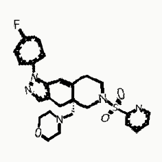 O=S(=O)(c1ccccn1)N1CCC2=Cc3c(cnn3-c3ccc(F)cc3)C[C@]2(CN2CCOCC2)C1